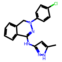 Cc1cc(NC2=NN(c3ccc(Cl)cc3)Cc3ccccc32)n[nH]1